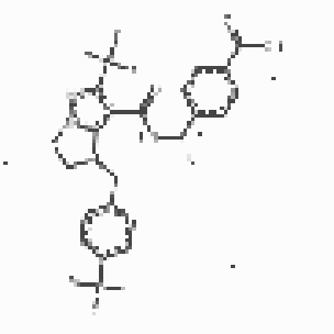 C[C@H](NC(=O)c1c(C(F)(F)F)nn2c1N(Cc1ccc(C(F)(F)F)cc1)CC2)c1ccc(C(=O)O)cc1